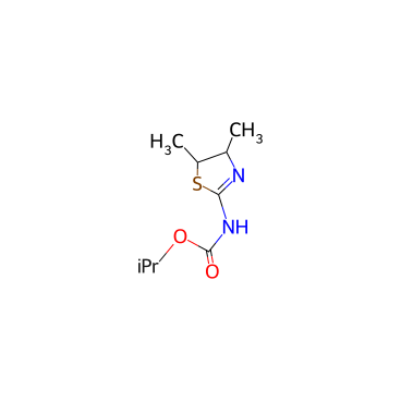 CC(C)OC(=O)NC1=NC(C)C(C)S1